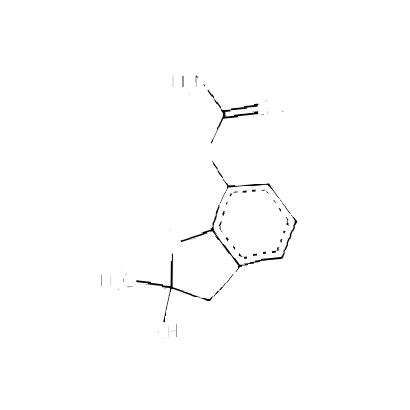 CC1(C)Cc2cccc(SC(N)=S)c2O1